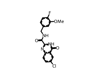 COc1cc(CNC(=O)c2nc3ccc(Cl)cc3c(=O)[nH]2)ccc1F